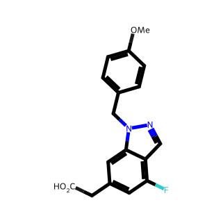 COc1ccc(Cn2ncc3c(F)cc(CC(=O)O)cc32)cc1